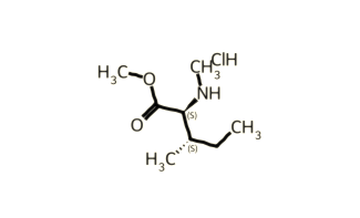 CC[C@H](C)[C@H](NC)C(=O)OC.Cl